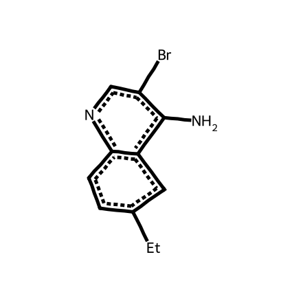 CCc1ccc2ncc(Br)c(N)c2c1